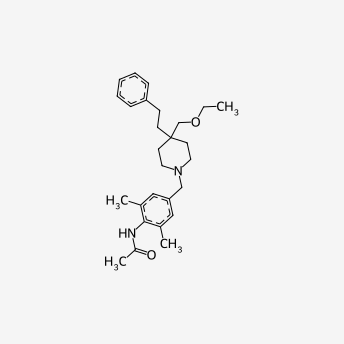 CCOCC1(CCc2ccccc2)CCN(Cc2cc(C)c(NC(C)=O)c(C)c2)CC1